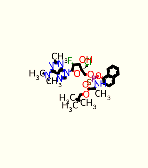 Cc1nc(N(C)C)c2ncn([C@@H]3O[C@](CCl)(CO[P@@](=S)(N[C@H](C)C(=O)OCC(C)(C)C)Oc4cccc5ccccc45)[C@@H](O)[C@@H]3F)c2n1